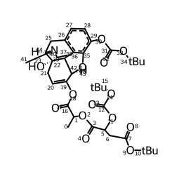 CC(OC(=O)C(CC(=O)OC(C)(C)C)OC(=O)OC(C)(C)C)C(=O)OC1=CC[C@@]2(O)[C@H]3Cc4ccc(OC(=O)OC(C)(C)C)c5c4[C@@]2(CCN3C)[C@H]1O5